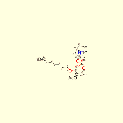 CCCCCCCCCCCCCCCCOCC(OC(C)=O)C(C)OP(=O)([O-])OC1CC2CCC(C1)[N+]2(C)C